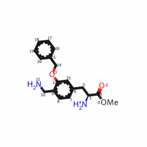 COC(=O)[C@@H](N)Cc1ccc(CN)c(OCc2ccccc2)c1